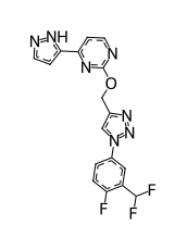 Fc1ccc(-n2cc(COc3nccc(-c4ccn[nH]4)n3)nn2)cc1C(F)F